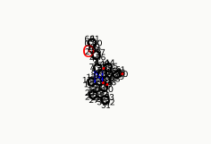 C1=c2oc3cc(-c4ccc(N(c5ccccc5-c5ccccc5-c5ccccc5-c5ccccc5)c5cccc6c5-c5ccccc5C65CC6CCC5C6)cc4)ccc3c2=CCC1